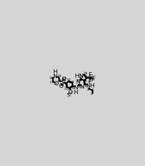 CCCNc1nc(Nc2ccc(S(=O)(=O)C3CNCCO3)cc2OC)nc2[nH]cc(C(F)(F)F)c12